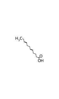 CCC=CCCC=CCCCC(=O)O